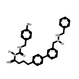 CCN(C(=N)CCCc1ccc(-c2cccc(C[S+]([O-])NCc3ccccc3)c2)cc1)C(=O)NCc1ccc(C(C)(C)C)cc1